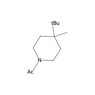 CC(=O)N1CCC(C)(C(C)(C)C)CC1